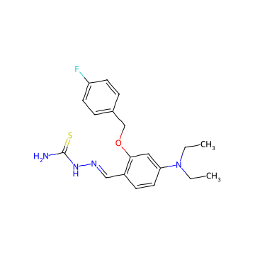 CCN(CC)c1ccc(C=NNC(N)=S)c(OCc2ccc(F)cc2)c1